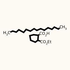 CCCCCCCCCCCCCCCC.CCOC(=O)C1CCCCC1C(=O)O